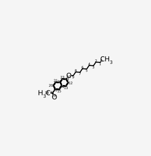 CCCCCCCCCCOc1ccc2cc(C(C)=O)ccc2c1